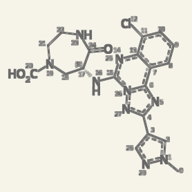 Cn1cc(-c2nc3c4cccc(Cl)c4nc(N[C@@H]4CN(C(=O)O)CCNC4=O)n3n2)cn1